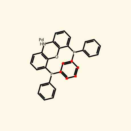 [Pd].c1ccc(P(c2ccccc2)c2cccc3c2Oc2c(cccc2P(c2ccccc2)c2ccccc2)N3)cc1